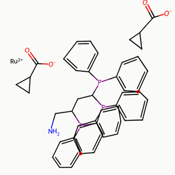 NCC(CC(P(c1ccccc1)c1ccccc1)P(c1ccccc1)c1ccccc1)P(c1ccccc1)c1ccccc1.O=C([O-])C1CC1.O=C([O-])C1CC1.[Ru+2]